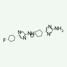 Nc1cnc([C@H]2CC[C@@H](ONc3cnc([C@H]4CC[C@@H](F)CC4)cn3)CC2)cn1